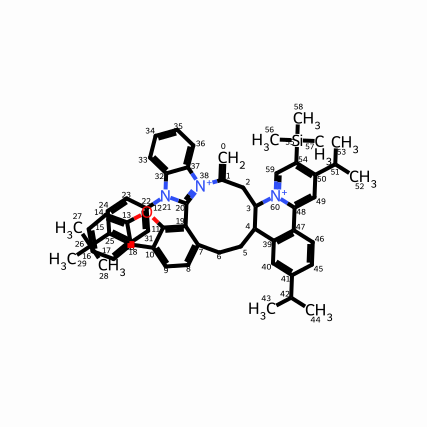 C=C1CC2C(CCc3ccc4c(oc5ccccc54)c3-c3n(-c4ccc(C(C)(C)C)cc4)c4ccccc4[n+]31)c1cc(C(C)C)ccc1-c1cc(C(C)C)c([Si](C)(C)C)c[n+]12